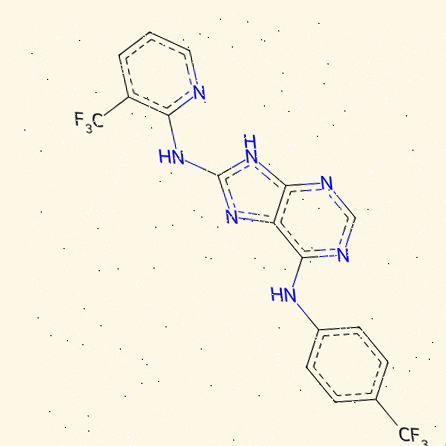 FC(F)(F)c1ccc(Nc2ncnc3[nH]c(Nc4ncccc4C(F)(F)F)nc23)cc1